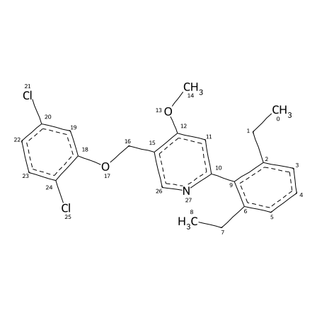 CCc1cccc(CC)c1-c1cc(OC)c(COc2cc(Cl)ccc2Cl)cn1